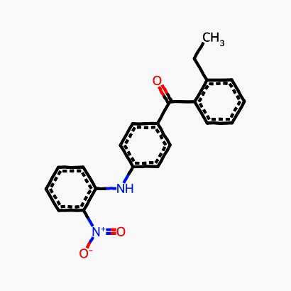 CCc1ccccc1C(=O)c1ccc(Nc2ccccc2[N+](=O)[O-])cc1